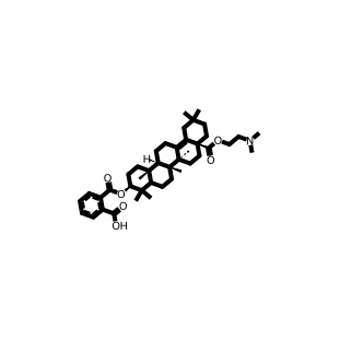 CN(C)CCOC(=O)[C@]12CCC(C)(C)CC1=C1CC[C@@H]3[C@@]4(C)CC[C@H](OC(=O)c5ccccc5C(=O)O)C(C)(C)C4CC[C@@]3(C)[C@]1(C)CC2